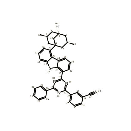 C[C@@H]1C[C@@H]2C[C@H](C)CC(c3cccc4sc5c(-c6nc(-c7ccccc7)nc(-c7cccc(C#N)c7)n6)cccc5c34)(C1)C2